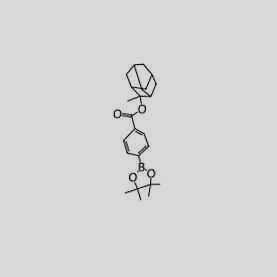 CC1(OC(=O)c2ccc(B3OC(C)(C)C(C)(C)O3)cc2)C2CC3CC(C2)CC1C3